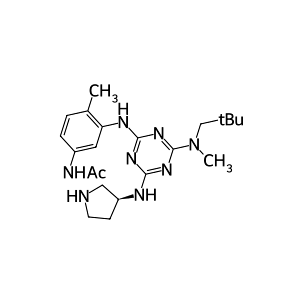 CC(=O)Nc1ccc(C)c(Nc2nc(N[C@H]3CCNC3)nc(N(C)CC(C)(C)C)n2)c1